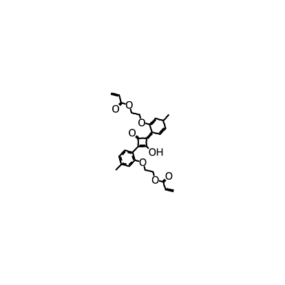 C=CC(=O)OCCOC1=CC(C)C=C/C1=C1/C(=O)C(c2ccc(C)cc2OCCOC(=O)C=C)=C1O